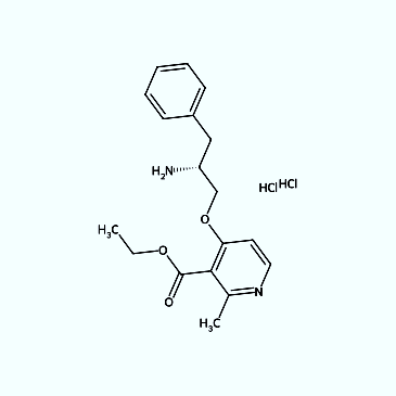 CCOC(=O)c1c(OC[C@H](N)Cc2ccccc2)ccnc1C.Cl.Cl